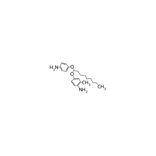 CCCCCCCCC(Oc1ccc(N)cc1)Oc1ccc(N)c(C)c1